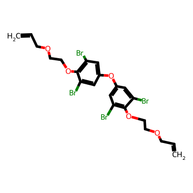 C=CCOCCOc1c(Br)cc(Oc2cc(Br)c(OCCOCC=C)c(Br)c2)cc1Br